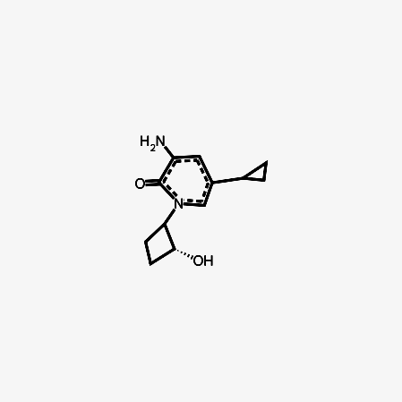 Nc1cc(C2CC2)cn(C2CC[C@H]2O)c1=O